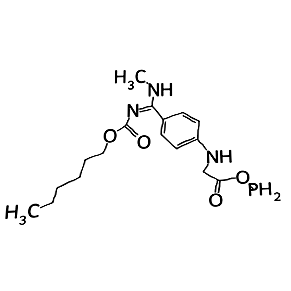 CCCCCCOC(=O)/N=C(/NC)c1ccc(NCC(=O)OP)cc1